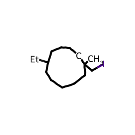 CCC1CCCCCC(C)(CI)CCCC1